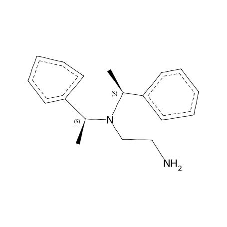 C[C@@H](c1ccccc1)N(CCN)[C@@H](C)c1ccccc1